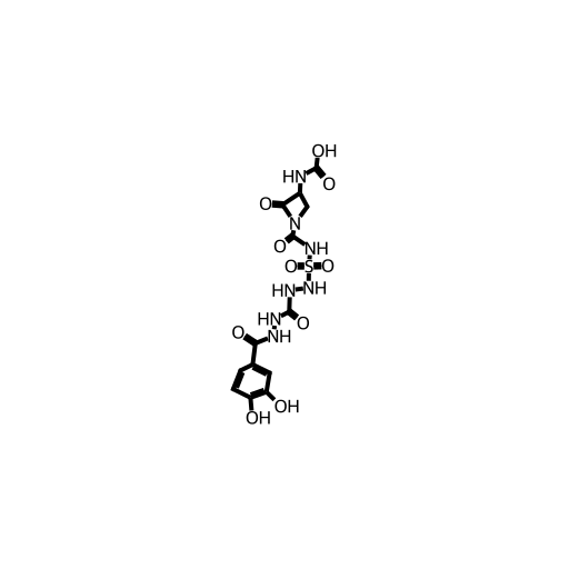 O=C(O)NC1CN(C(=O)NS(=O)(=O)NNC(=O)NNC(=O)c2ccc(O)c(O)c2)C1=O